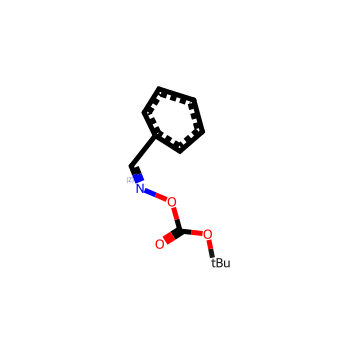 CC(C)(C)OC(=O)O/N=C\c1ccccc1